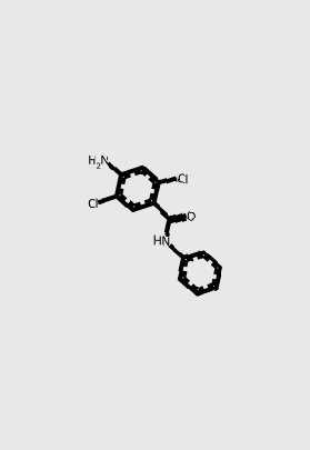 Nc1cc(Cl)c(C(=O)Nc2ccccc2)cc1Cl